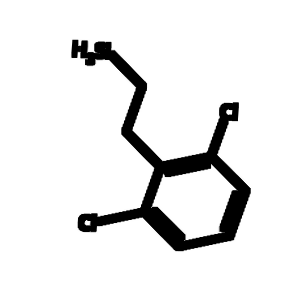 [SiH3]CCc1c(Cl)cccc1Cl